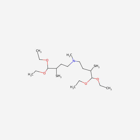 CCOC(OCC)C([SiH3])CCN(C)CCC([SiH3])C(OCC)OCC